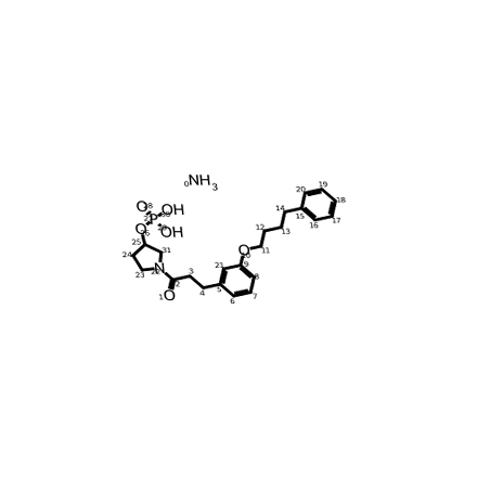 N.O=C(CCc1cccc(OCCCCc2ccccc2)c1)N1CCC(OP(=O)(O)O)C1